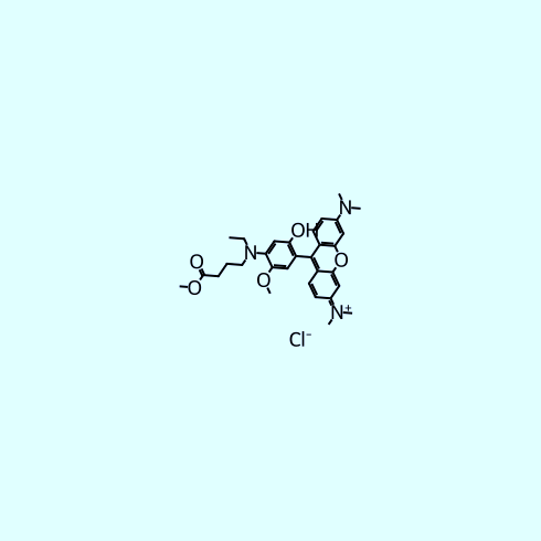 CCN(CCCC(=O)OC)c1cc(O)c(-c2c3ccc(=[N+](C)C)cc-3oc3cc(N(C)C)ccc23)cc1OC.[Cl-]